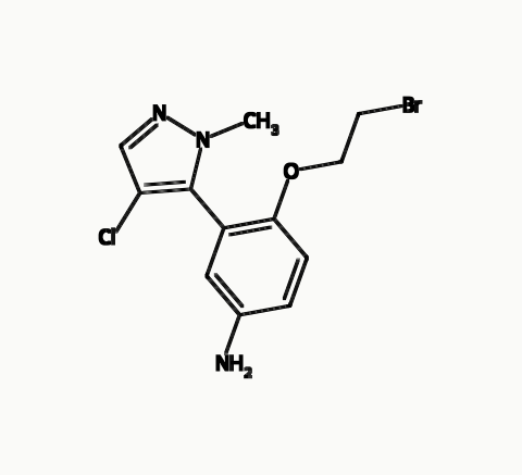 Cn1ncc(Cl)c1-c1cc(N)ccc1OCCBr